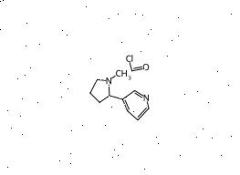 CN1CCCC1c1cccnc1.O=CCl